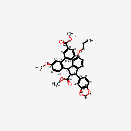 CCCOc1ccc2c(c1)C(c1ccc(OC)cc1-c1cccc(C(=O)OC)c1)C(C(=O)OC)C2c1ccc2c(c1)OCO2